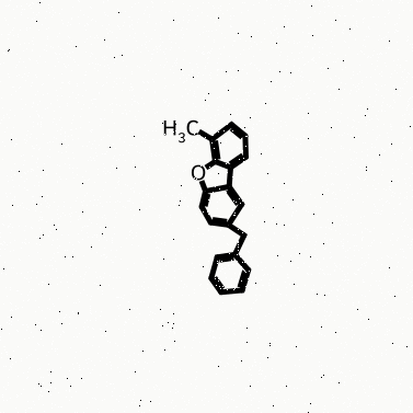 Cc1cccc2c1oc1ccc(Cc3ccccc3)cc12